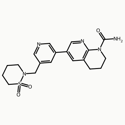 NC(=O)N1CCCc2cc(-c3cncc(CN4CCCCS4(=O)=O)c3)cnc21